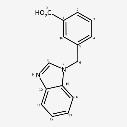 O=C(O)c1cccc(Cn2cnc3ccccc32)c1